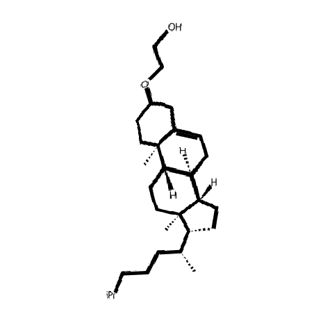 CC(C)CCC[C@@H](C)[C@H]1CC[C@H]2[C@@H]3CC=C4CC(OCCO)CC[C@]4(C)[C@H]3CC[C@]12C